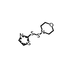 c1csc(SSN2CCOCC2)n1